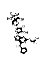 C[C@@H](O)COc1nc(NC2CCCC2)c2cnn([C@@H]3O[C@H](COC(CO)(CO)P(=O)(O)O)[C@@H](O)[C@H]3O)c2n1